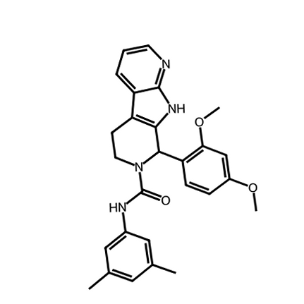 COc1ccc(C2c3[nH]c4ncccc4c3CCN2C(=O)Nc2cc(C)cc(C)c2)c(OC)c1